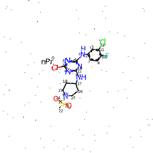 CCCOc1nc(Nc2ccc(F)c(Cl)c2)nc(NC2CCN(S(C)(=O)=O)CC2)n1